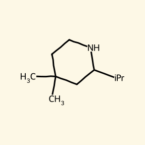 CC(C)C1CC(C)(C)CCN1